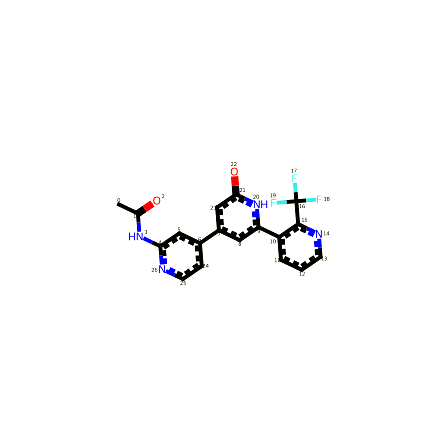 CC(=O)Nc1cc(-c2cc(-c3cccnc3C(F)(F)F)[nH]c(=O)c2)ccn1